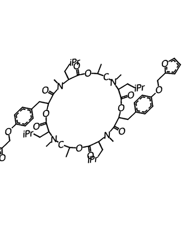 CC(C)CC1C(=O)OC(Cc2ccc(OCc3ccco3)cc2)C(=O)N(C)C(CC(C)C)C(=O)OC(C)CN(C)C(CC(C)C)C(=O)OC(Cc2ccc(OCc3ccco3)cc2)C(=O)N(C)C(CC(C)C)C(=O)OC(C)CN1C